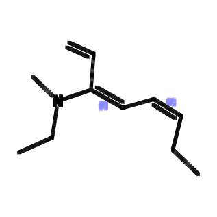 C=C/C(=C\C=C/CC)N(C)CC